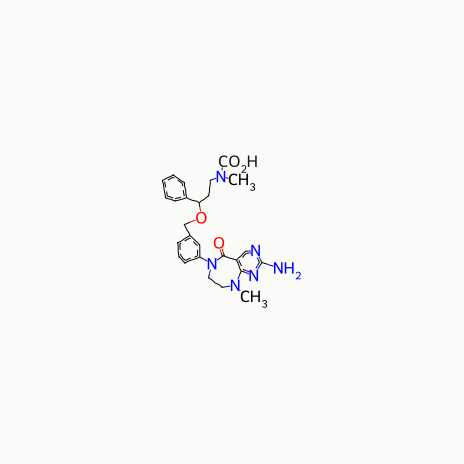 CN(CCC(OCc1cccc(N2CCN(C)c3nc(N)ncc3C2=O)c1)c1ccccc1)C(=O)O